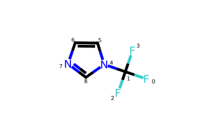 FC(F)(F)n1ccnc1